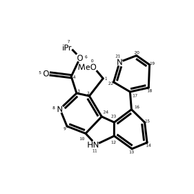 COCc1c(C(=O)OC(C)C)ncc2[nH]c3cccc(-c4cccnc4)c3c12